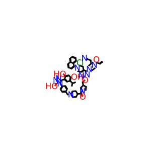 C=CC(=O)N1CCN(c2nc(OCC3CCN(C(=O)C4CCN(Cc5ccc(-n6c(O)nnc6-c6cc(C(C)C)c(O)cc6O)cc5)CC4)C3)nc3c2CCN(c2cccc4cccc(Cl)c24)C3)CC1CC#N